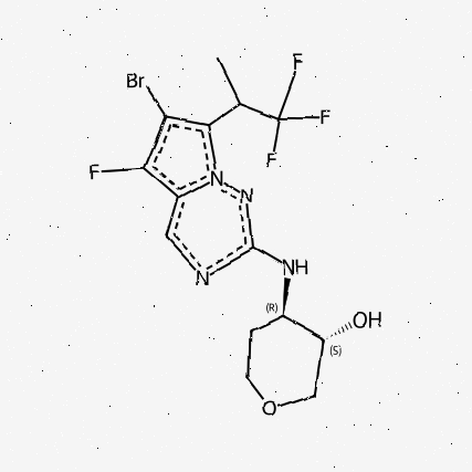 CC(c1c(Br)c(F)c2cnc(N[C@@H]3CCOC[C@H]3O)nn12)C(F)(F)F